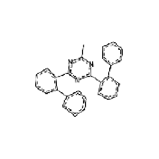 Cc1nc(-c2ccccc2-c2ccccc2)nc(-c2ccccc2-c2ccccc2)n1